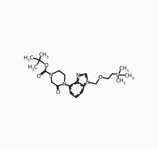 CC(C)(C)OC(=O)N1CCN(c2cccc3c2ncn3COCC[Si](C)(C)C)C(=O)C1